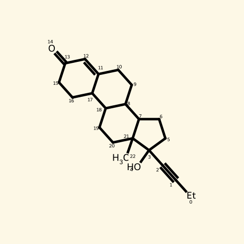 CCC#CC1(O)CCC2C3CCC4=CC(=O)CCC4C3CCC21C